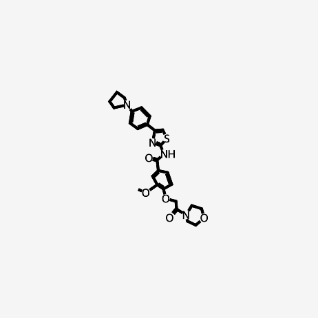 COc1cc(C(=O)Nc2nc(-c3ccc(N4CCCC4)cc3)cs2)ccc1OCC(=O)N1CCOCC1